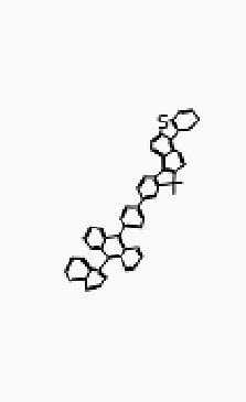 CC1(C)c2cc(-c3ccc(-c4c5ccccc5c(-c5cccc6ccccc56)c5ccccc45)cc3)ccc2-c2c1ccc1c2ccc2sc3c(c21)CCC=C3